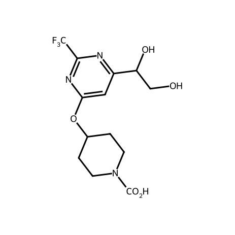 O=C(O)N1CCC(Oc2cc(C(O)CO)nc(C(F)(F)F)n2)CC1